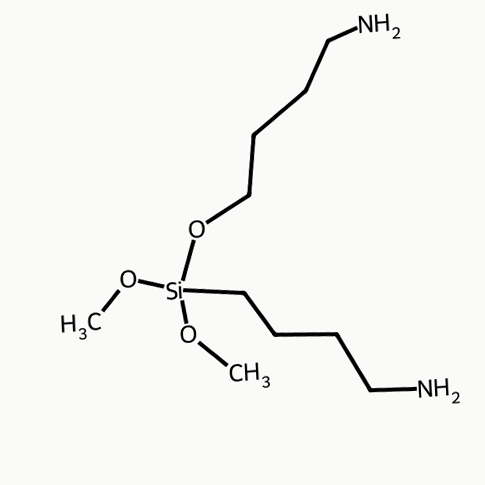 CO[Si](CCCCN)(OC)OCCCCN